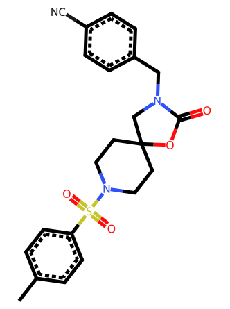 Cc1ccc(S(=O)(=O)N2CCC3(CC2)CN(Cc2ccc(C#N)cc2)C(=O)O3)cc1